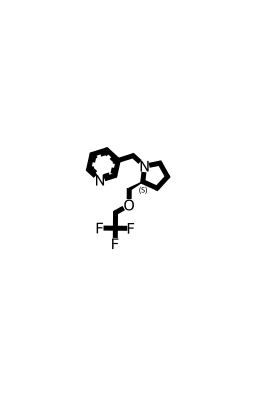 FC(F)(F)COC[C@@H]1CCCN1Cc1cccnc1